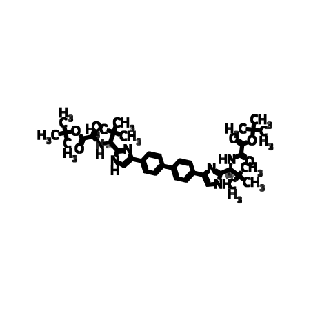 CC(C)(C)OC(=O)C(=O)N[C@H](c1nc(-c2ccc(-c3ccc(-c4c[nH]c([C@@H](NC(=O)C(=O)OC(C)(C)C)C(C)(C)C)n4)cc3)cc2)c[nH]1)C(C)(C)C